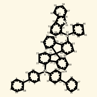 c1ccc(-c2ccc(N(c3ccc(-c4ccccc4)cc3)c3cccc4c3-c3ccccc3C43c4ccccc4-c4c(N(c5ccccc5)c5cccc6c5sc5ccccc56)cccc43)cc2)cc1